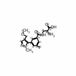 COCc1cnn(C)c1-c1cc(F)cc(C(=O)NC[C@@H](N)C(=O)O)c1